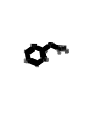 [SiH3]Sc1ncncn1